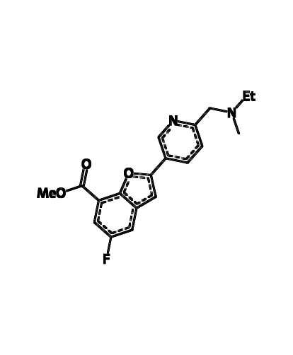 CCN(C)Cc1ccc(-c2cc3cc(F)cc(C(=O)OC)c3o2)cn1